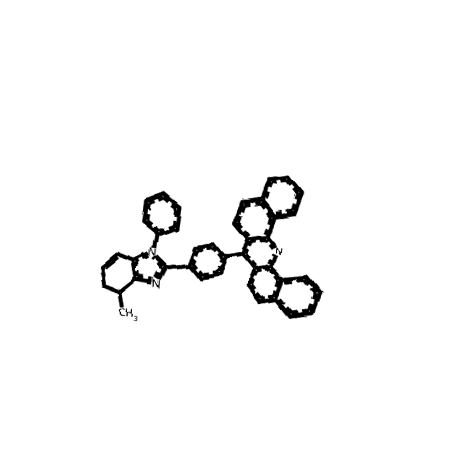 CC1CC=Cc2c1nc(-c1ccc(-c3c4ccc5ccccc5c4nc4c3ccc3ccccc34)cc1)n2-c1ccccc1